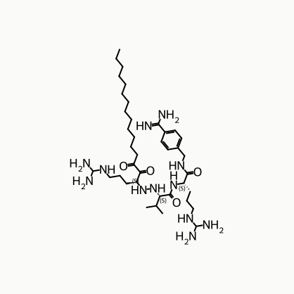 CCCCCCCCCCCCCC(=O)C(=O)[C@H](CCCNC(N)N)NN[C@H](C(=O)N[C@@H](CCCNC(N)N)C(=O)NCc1ccc(C(=N)N)cc1)C(C)C